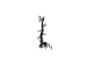 CCNCCCCNCCCCNCCCCNCCCCNCCOC(=O)[C@H](CCC(N)=O)NN[C@H](C=O)CC(C)C